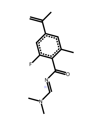 C=C(C)c1cc(C)c(C(=O)/N=C/N(C)C)c(F)c1